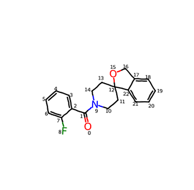 O=C(c1ccccc1F)N1CCC2(CC1)OCc1ccccc12